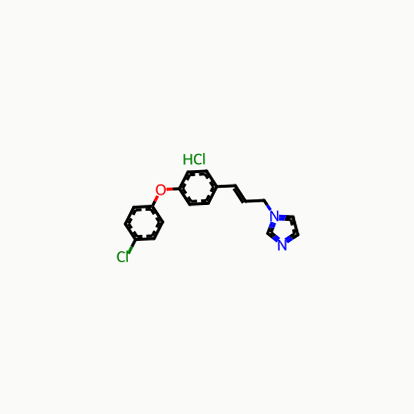 Cl.Clc1ccc(Oc2ccc(C=CCn3ccnc3)cc2)cc1